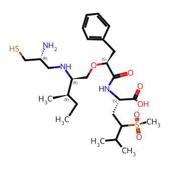 CC[C@@H](C)[C@H](CO[C@@H](Cc1ccccc1)C(=O)N[C@@H](CC(C(C)C)S(C)(=O)=O)C(=O)O)NC[C@@H](N)CS